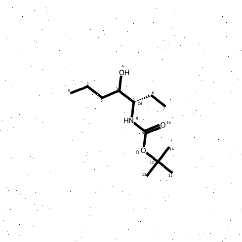 CCCC(O)[C@H](CC)NC(=O)OC(C)(C)C